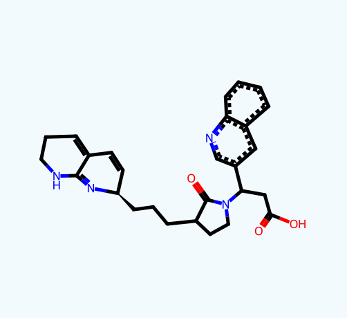 O=C(O)CC(c1cnc2ccccc2c1)N1CCC(CCC[C@@H]2C=CC3=CCCNC3=N2)C1=O